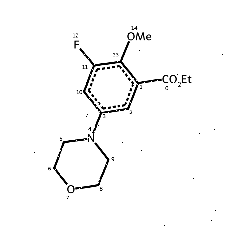 CCOC(=O)c1cc(N2CCOCC2)cc(F)c1OC